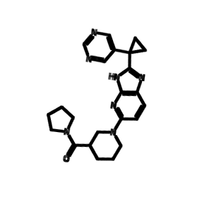 O=C(C1CCCN(c2ccc3nc(C4(c5cncnc5)CC4)[nH]c3n2)C1)N1CCCC1